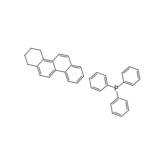 c1ccc(P(c2ccccc2)c2ccccc2)cc1.c1ccc2c(c1)ccc1c3c(ccc12)CCCC3